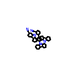 N#Cc1ccc2c3ccccc3n(-c3c(C#N)cccc3-c3ccc(-n4c5ccccc5c5cccc(-n6c7ccccc7c7ccccc76)c54)cc3)c2c1